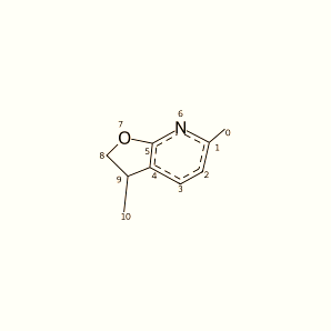 Cc1ccc2c(n1)OCC2C